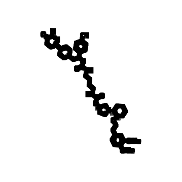 COc1ccc(CCO[C@@H]2CCCC[C@H]2N2CC[C@@H](OC(=O)NCCCCNC(=O)OC(CN3CC=C(C4=NNC(=O)CC4)CC3)c3ccc(C#N)cc3)C2)cc1OC